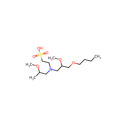 CCCCOCC(CN(CCS(=O)(=O)O)CC(C)OC)OC